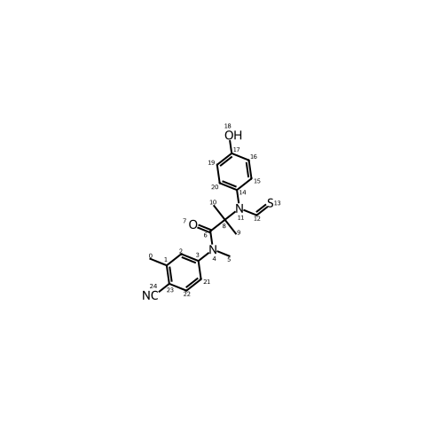 Cc1cc(N(C)C(=O)C(C)(C)N(C=S)c2ccc(O)cc2)ccc1C#N